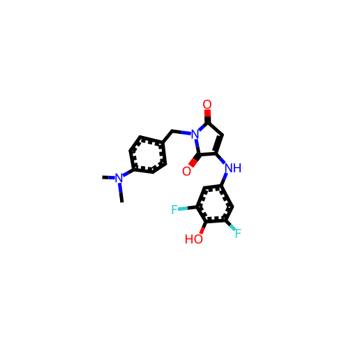 CN(C)c1ccc(CN2C(=O)C=C(Nc3cc(F)c(O)c(F)c3)C2=O)cc1